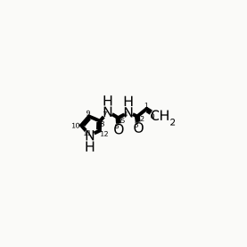 C=CC(=O)NC(=O)Nc1cc[nH]c1